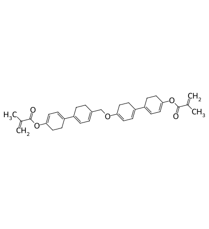 C=C(C)C(=O)OC1=CC=C(C2=CC=C(COC3=CC=C(C4=CC=C(OC(=O)C(=C)C)CC4)CC3)CC2)CC1